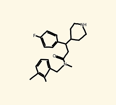 Cc1cccc(CN(C)C(=O)CC(c2ccc(F)cc2)C2CCNCC2)c1C